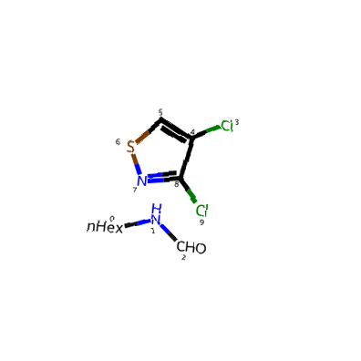 CCCCCCNC=O.Clc1csnc1Cl